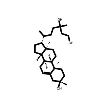 CC(CCC(C)(O)CCO)[C@H]1CC[C@H]2[C@@H]3CC=C4C[C@@](C)(O)CC[C@]4(C)[C@H]3CC[C@]12C